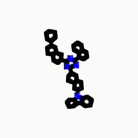 c1ccc(-c2ccc3ccc(-c4nc(-c5ccc6cc(-n7c8ccccc8c8ccccc87)ccc6c5)nc(-c5cccc6ccccc56)n4)cc3c2)cc1